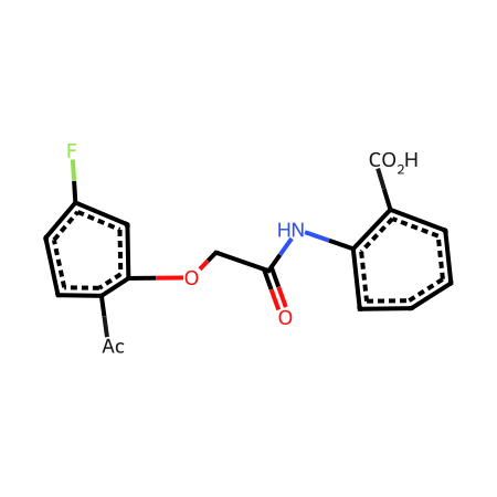 CC(=O)c1ccc(F)cc1OCC(=O)Nc1ccccc1C(=O)O